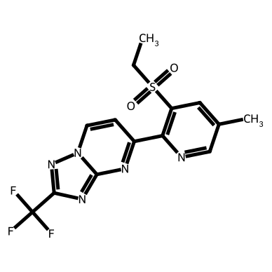 CCS(=O)(=O)c1cc(C)cnc1-c1ccn2nc(C(F)(F)F)nc2n1